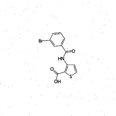 O=C(Nc1ccsc1C(=O)O)c1cccc(Br)c1